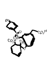 CC1(Oc2ccc(CC(=O)O)cc2NS(=O)(=O)c2ccc(Br)cc2)C=CC=CC1C(=O)O